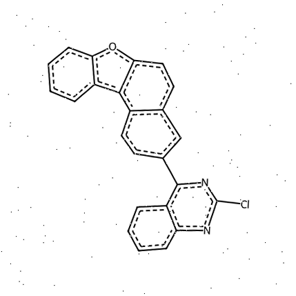 Clc1nc(-c2ccc3c(ccc4oc5ccccc5c43)c2)c2ccccc2n1